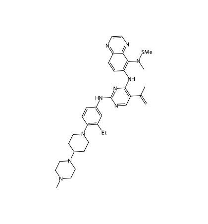 C=C(C)c1cnc(Nc2ccc(N3CCC(N4CCN(C)CC4)CC3)c(CC)c2)nc1Nc1ccc2nccnc2c1N(C)SC